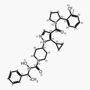 CC(c1ccccc1)N(O)C(=O)N1CCC(n2ncc(C(=O)N3CCCC3c3ccccc3C(F)(F)F)c2C2CC2)CC1